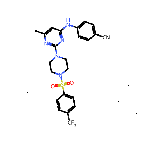 Cc1cc(Nc2ccc(C#N)cc2)nc(N2CCN(S(=O)(=O)c3ccc(C(F)(F)F)cc3)CC2)n1